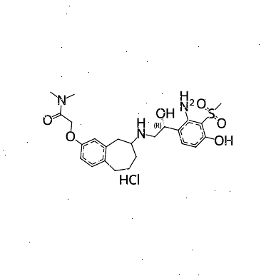 CN(C)C(=O)COc1ccc2c(c1)CC(NC[C@H](O)c1ccc(O)c(S(C)(=O)=O)c1N)CCC2.Cl